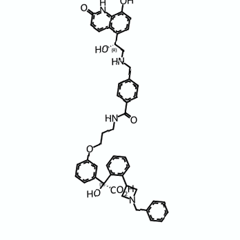 O=C(NCCCOc1cccc([C@@](O)(C(=O)O)c2ccccc2C2CN(Cc3ccccc3)C2)c1)c1ccc(CNC[C@H](O)c2ccc(O)c3[nH]c(=O)ccc23)cc1